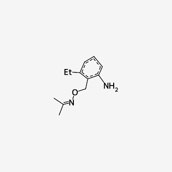 CCc1cccc(N)c1CON=C(C)C